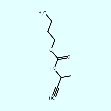 C#CC(I)NC(=O)OCCCC